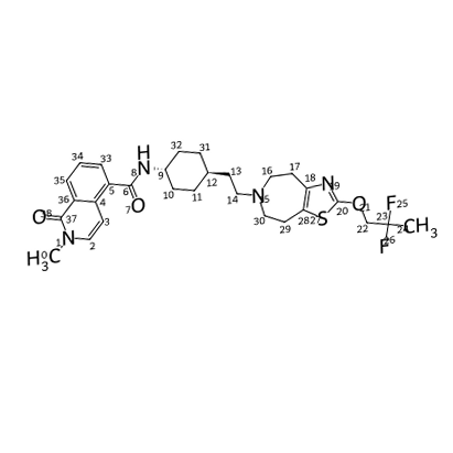 Cn1ccc2c(C(=O)N[C@H]3CC[C@H](CCN4CCc5nc(OCC(C)(F)F)sc5CC4)CC3)cccc2c1=O